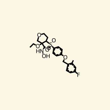 CCOC1(C(=O)NO)COCCC1S(=O)(=O)c1ccc(OCc2ccc(F)cc2C)cc1